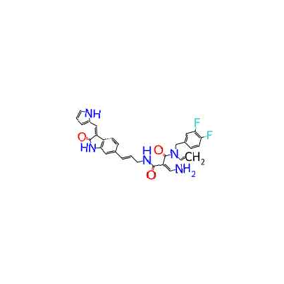 C=CN(Cc1ccc(F)c(F)c1)C(=O)/C(=C\N)C(=O)NC/C=C/c1ccc2c(c1)NC(=O)/C2=C\c1ccc[nH]1